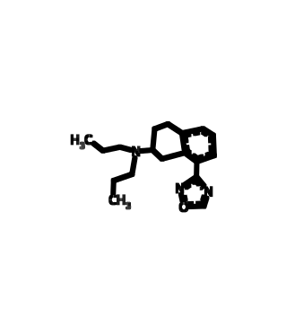 CCCN(CCC)C1CCc2cccc(-c3ncon3)c2C1